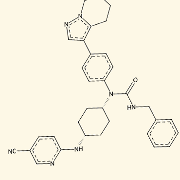 N#Cc1ccc(N[C@H]2CC[C@@H](N(C(=O)NCc3ccccc3)c3ccc(-c4cnn5c4CCCC5)cc3)CC2)nc1